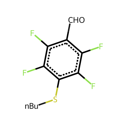 CCCCSc1c(F)c(F)c(C=O)c(F)c1F